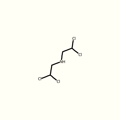 ClC(Cl)CNCC(Cl)Cl